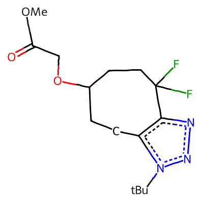 COC(=O)COC1CCc2c(nnn2C(C)(C)C)C(F)(F)CC1